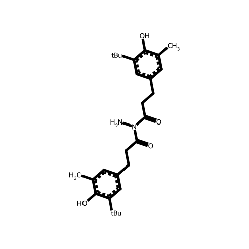 Cc1cc(CCC(=O)N(N)C(=O)CCc2cc(C)c(O)c(C(C)(C)C)c2)cc(C(C)(C)C)c1O